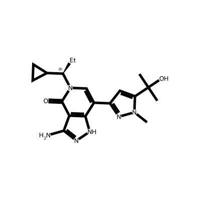 CC[C@H](C1CC1)n1cc(-c2cc(C(C)(C)O)n(C)n2)c2[nH]nc(N)c2c1=O